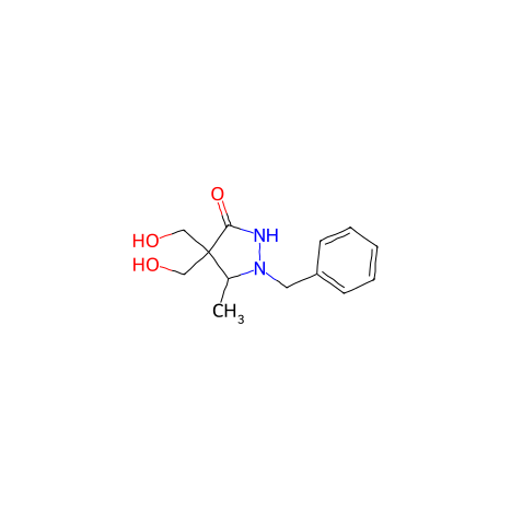 CC1N(Cc2ccccc2)NC(=O)C1(CO)CO